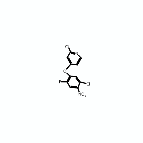 O=[N+]([O-])c1cc(F)c(Oc2ccnc(Cl)c2)cc1Cl